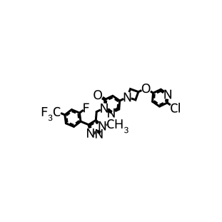 Cn1nnc(-c2ccc(C(F)(F)F)cc2F)c1Cn1ncc(N2CC(Oc3ccc(Cl)nc3)C2)cc1=O